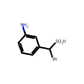 CC(C)C(c1cccc(N)c1)S(=O)(=O)O